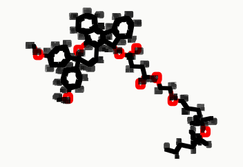 CCCC[Si](C)(C)O[Si](C)(C)CCCOCCOC(=O)CCC(=O)OC1c2ccccc2-c2c1c1c(c3ccccc23)OC(c2ccc(OC)cc2)(c2ccc(OC)cc2)C=C1